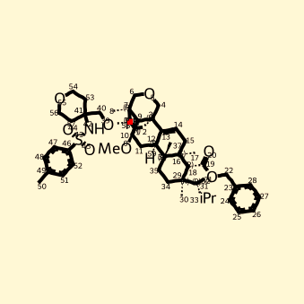 CO[C@@H]1C[C@@]23COC[C@@](C)([C@@H]2CC[C@H]2C3=CC[C@@]3(C)[C@H](C(=O)OCc4ccccc4)[C@@](C)([C@H](C)C(C)C)CC[C@]23C)[C@H]1OCC1(NS(=O)(=O)c2ccc(C)cc2)CCOCC1